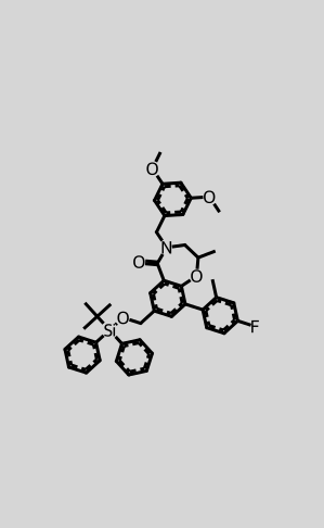 COc1cc(CN2CC(C)Oc3c(cc(CO[Si](c4ccccc4)(c4ccccc4)C(C)(C)C)cc3-c3ccc(F)cc3C)C2=O)cc(OC)c1